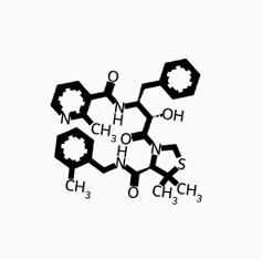 Cc1ccccc1CNC(=O)[C@H]1N(C(=O)[C@@H](O)[C@H](Cc2ccccc2)NC(=O)c2cccnc2C)CSC1(C)C